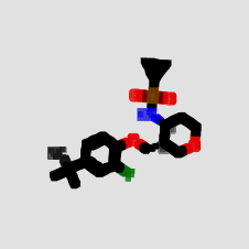 CC(C)(C#N)c1ccc(OC[C@H]2COCC[C@@H]2NS(=O)(=O)C2CC2)c(F)c1